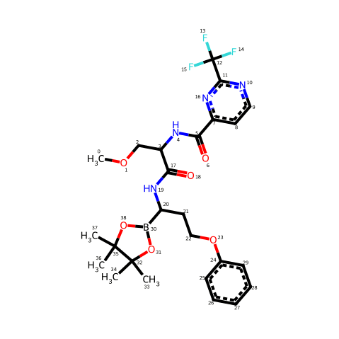 COCC(NC(=O)c1ccnc(C(F)(F)F)n1)C(=O)NC(CCOc1ccccc1)B1OC(C)(C)C(C)(C)O1